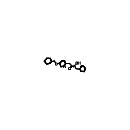 O=C(Cc1ccc(OCc2ccccc2)cn1)N(O)Cc1ccccc1